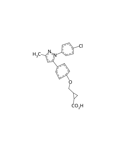 Cc1cc(-c2ccc(OCC3CC3C(=O)O)cc2)n(-c2ccc(Cl)cc2)n1